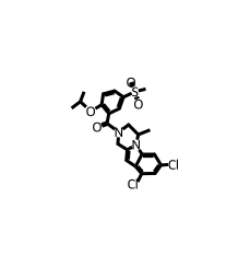 CC(C)Oc1ccc(S(C)(=O)=O)cc1C(=O)N1Cc2cc3c(Cl)cc(Cl)cc3n2C(C)C1